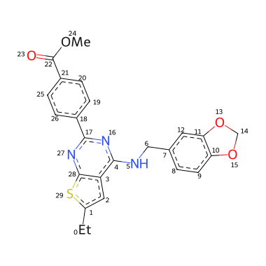 CCc1cc2c(NCc3ccc4c(c3)OCO4)nc(-c3ccc(C(=O)OC)cc3)nc2s1